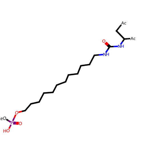 COP(=O)(O)OCCCCCCCCCCCCNC(=O)NC(CC(C)=O)C(C)=O